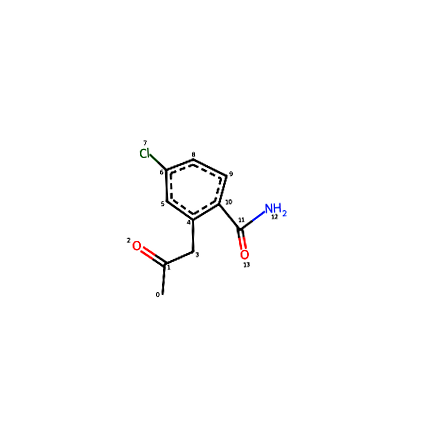 CC(=O)Cc1cc(Cl)ccc1C(N)=O